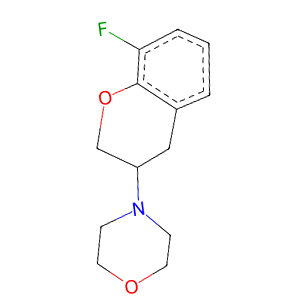 Fc1cccc2c1OCC(N1CCOCC1)C2